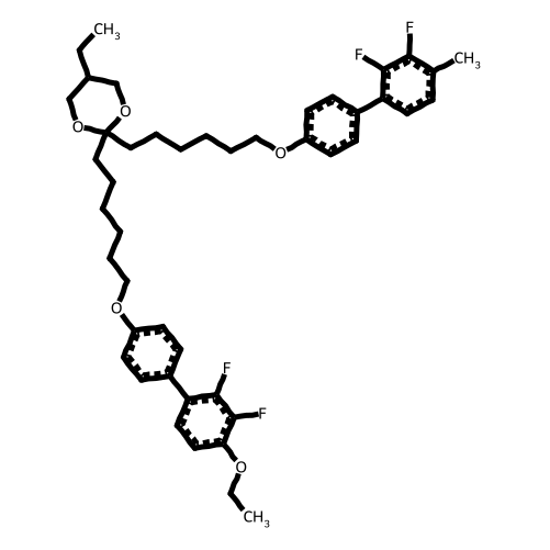 CCOc1ccc(-c2ccc(OCCCCCCC3(CCCCCCOc4ccc(-c5ccc(C)c(F)c5F)cc4)OCC(CC)CO3)cc2)c(F)c1F